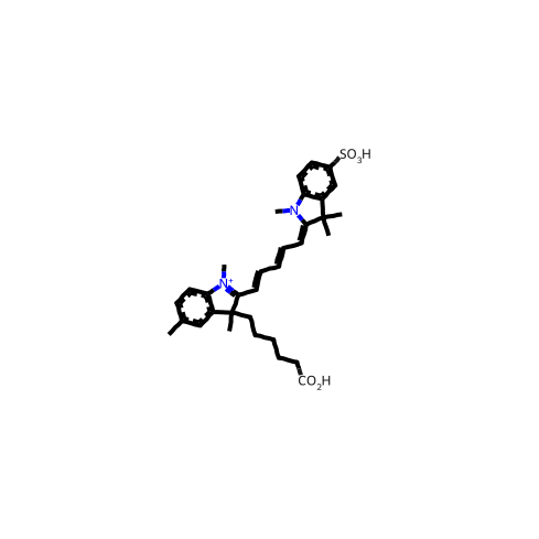 Cc1ccc2c(c1)C(C)(CCCCCC(=O)O)C(/C=C/C=C/C=C1\N(C)c3ccc(S(=O)(=O)O)cc3C1(C)C)=[N+]2C